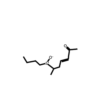 CCCC[S+]([O-])C(C)C/C=C/C(C)=O